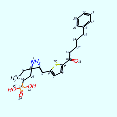 CCC(N)(CCc1ccc(C(=O)CCCCc2ccccc2)s1)CCP(=O)(O)O